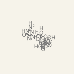 CO[C@]12O[C@@H](n3cnc4c(=O)[nH]c(N)nc43)[C@H](F)[C@@]1(O)C2OP(=O)(O)OP(=O)(O)OP(=O)(O)O